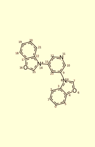 c1ccc2c(c1)oc[n+]2-c1cncc(-[n+]2coc3ccccc32)c1